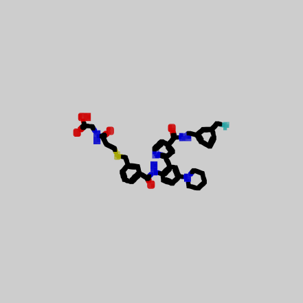 O=C(O)CNC(=O)CCSCc1cccc(C(=O)Nc2ccc(N3CCCCC3)cc2-c2cc(C(=O)NCc3cccc(CF)c3)ccn2)c1